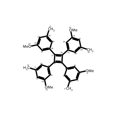 COc1cc(C)cc(C2=C(c3cc(C)cc(OC)c3)C(c3cc(C)cc(OC)c3)=C2c2cc(C)cc(OC)c2)c1